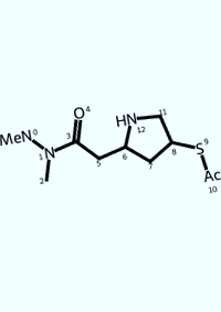 CNN(C)C(=O)CC1CC(SC(C)=O)CN1